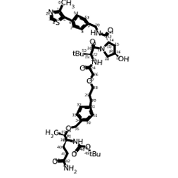 Cc1ncsc1-c1ccc(CNC(=O)[C@@H]2C[C@@H](O)CN2C(=O)[C@@H](NC(=O)COCCCc2ccc(CO[C@H](C)[C@H](CCC(N)=O)NC(=O)OC(C)(C)C)cc2)C(C)(C)C)cc1